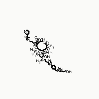 CO[C@]1(C)C[C@@H](C)C(=O)[C@@H]2C(CCCn3cnc(-c4cccnc4)c3)N3C(=O)O[C@](C)([C@@H](I)OC(=O)[C@H](C)C(=O)[C@H](C)[C@H]1O[C@@H]1O[C@H](C)C[C@H](N(C)CCc4cn(-c5ccc(Cn6cc(CCO)nn6)cc5)nn4)[C@H]1O)[C@@H]23